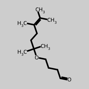 CC(C)=C(C)CCC(C)(C)OCCCC=O